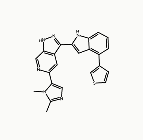 Cc1ncc(-c2cc3c(-c4cc5c(-c6ccsc6)cccc5[nH]4)n[nH]c3cn2)n1C